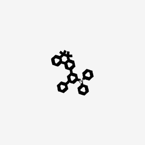 CC1(C)c2ccccc2-c2cc(-c3cc(-c4ccccc4)cc(N(c4ccccc4)c4ccccc4)c3)ccc2C1(C)C